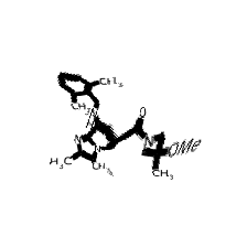 COC1(C)CN(C(=O)c2cc(NCc3c(C)cccc3C)c3nc(C)c(C)n3c2)C1